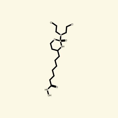 O=C(CCCCCCC1CCOP(=O)(N(CCCl)CCCl)N1)NO